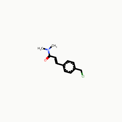 CN(C)C(=O)/C=C/c1ccc(CCl)cc1